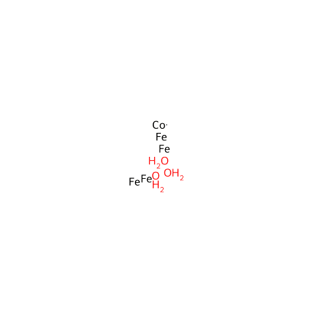 O.O.O.[Co].[Fe].[Fe].[Fe].[Fe]